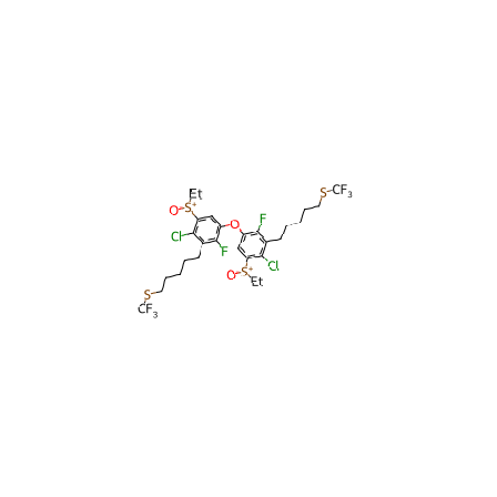 CC[S+]([O-])c1cc(Oc2cc([S+]([O-])CC)c(Cl)c(CCCCCSC(F)(F)F)c2F)c(F)c(CCCCCSC(F)(F)F)c1Cl